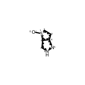 [O-][s+]1ccc2n[nH]cc21